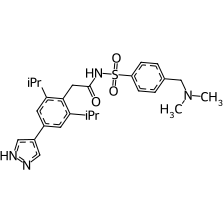 CC(C)c1cc(-c2cn[nH]c2)cc(C(C)C)c1CC(=O)NS(=O)(=O)c1ccc(CN(C)C)cc1